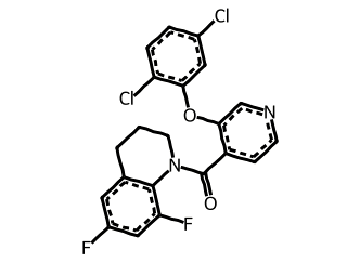 O=C(c1ccncc1Oc1cc(Cl)ccc1Cl)N1CCCc2cc(F)cc(F)c21